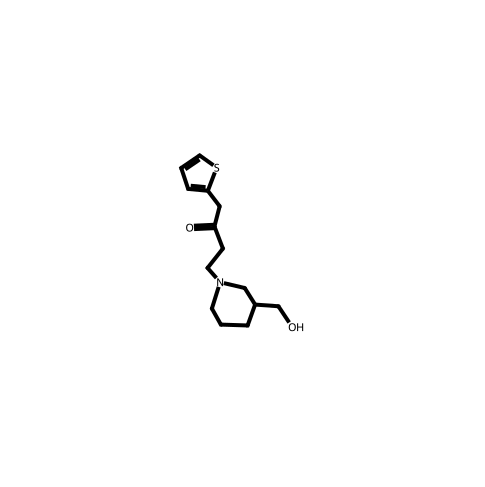 O=C(CCN1CCCC(CO)C1)Cc1cccs1